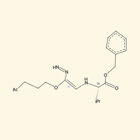 CC(=O)CCCO/C(=C/N[C@H](C(=O)OCc1ccccc1)C(C)C)N=N